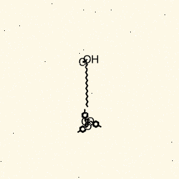 CCCCCCCCCCCCCCCCCC(=O)O.Cc1ccc(OP(Oc2ccc(C)cc2)Oc2ccc(C)cc2)cc1